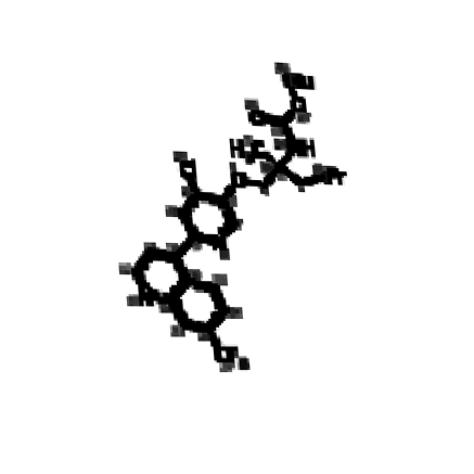 CC(C)C[C@@](C)(COc1cnc(-c2ccnc3cc(C(F)(F)F)ccc23)cc1Cl)NC(=O)OC(C)(C)C